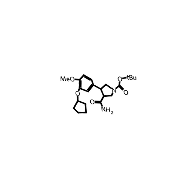 COc1ccc(C2CN(C(=O)OC(C)(C)C)CC2C(N)=O)cc1OC1CCCC1